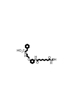 O=C(CCCCCCC(=O)Nc1cccc(OCCCN[C@@H](Cc2ccccc2)C(=O)O)c1)NO